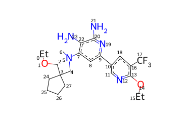 CCOCC1(CN(C)c2cc(-c3cnc(OCC)c(C(F)(F)F)c3)nc(N)c2N)CCCC1